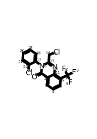 O=c1c2cccc(C(F)(F)F)c2nc(CCl)n1-c1ccccc1Cl